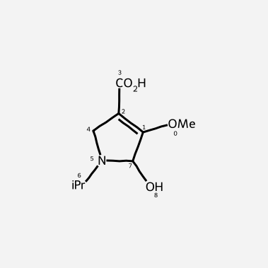 COC1=C(C(=O)O)CN(C(C)C)C1O